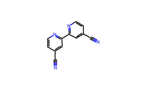 N#Cc1ccnc(-c2cc(C#N)ccn2)c1